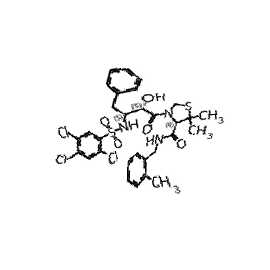 Cc1ccccc1CNC(=O)[C@H]1N(C(=O)[C@@H](O)[C@H](Cc2ccccc2)NS(=O)(=O)c2cc(Cl)c(Cl)cc2Cl)CSC1(C)C